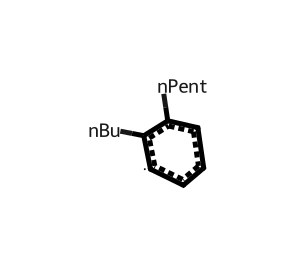 CCCCCc1ccc[c]c1CCCC